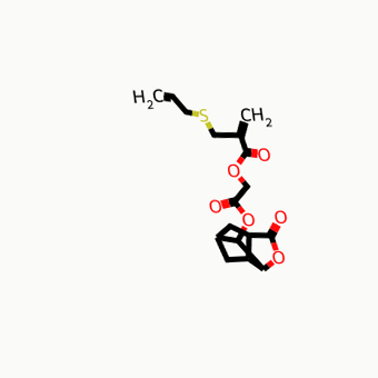 C=CCSCC(=C)C(=O)OCC(=O)OC1C2CC3C(=O)OC1C3C2